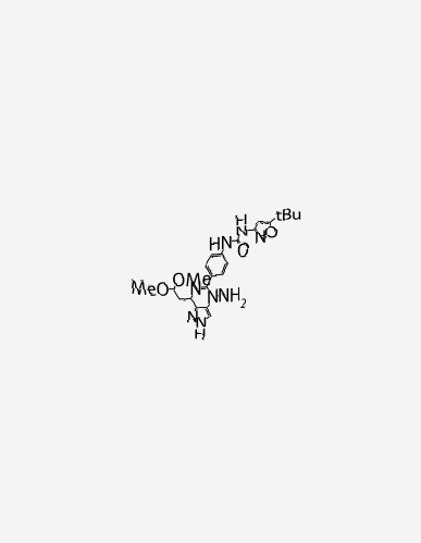 COC(CC1N=C(c2ccc(NC(=O)Nc3cc(C(C)(C)C)on3)cc2)N(N)c2c[nH]nc21)OC